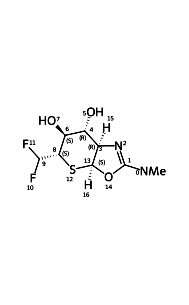 CNC1=N[C@@H]2[C@@H](O)[C@H](O)[C@@H](C(F)F)S[C@@H]2O1